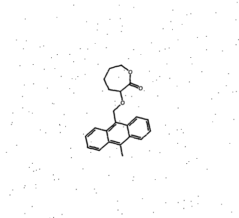 Cc1c2ccccc2c(COC2CCCCOC2=O)c2ccccc12